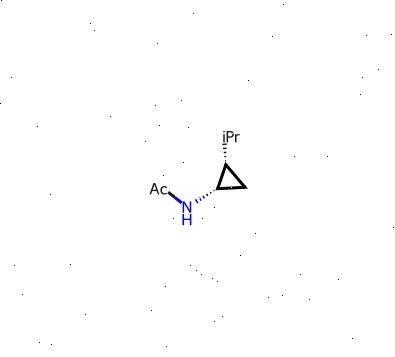 CC(=O)N[C@H]1C[C@H]1C(C)C